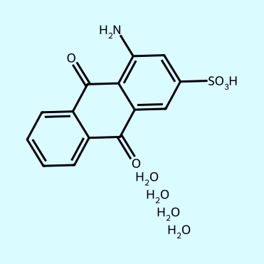 Nc1cc(S(=O)(=O)O)cc2c1C(=O)c1ccccc1C2=O.O.O.O.O